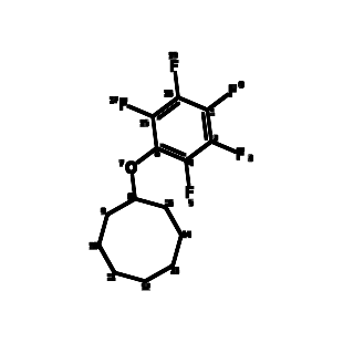 Fc1c(F)c(F)c(OC2CCCCCCC2)c(F)c1F